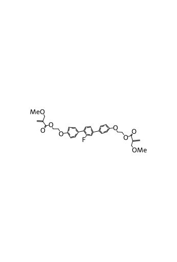 C=C(COC)C(=O)OCCOc1ccc(-c2ccc(-c3ccc(OCCOC(=O)C(=C)COC)cc3)c(F)c2)cc1